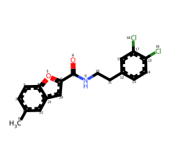 Cc1ccc2oc(C(=O)NCCc3ccc(Cl)c(Cl)c3)cc2c1